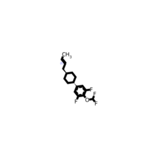 C/C=C/C[C@H]1CC[C@H](c2cc(F)c(OC(F)F)c(F)c2)CC1